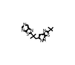 CC(C)(C)c1nc2cc(CC(C)(C)c3nc4cncnc4s3)nnc2s1